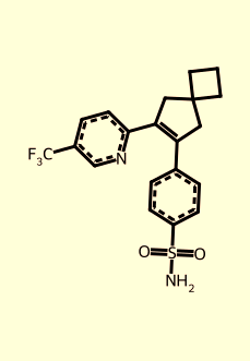 NS(=O)(=O)c1ccc(C2=C(c3ccc(C(F)(F)F)cn3)CC3(CCC3)C2)cc1